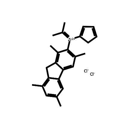 C[C](C)=[Zr+2]([C]1=CC=CC1)[c]1c(C)cc2c(c1C)Cc1c(C)cc(C)cc1-2.[Cl-].[Cl-]